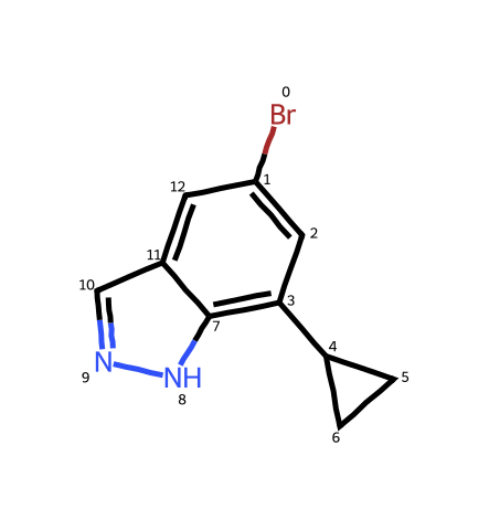 Brc1cc(C2CC2)c2[nH]ncc2c1